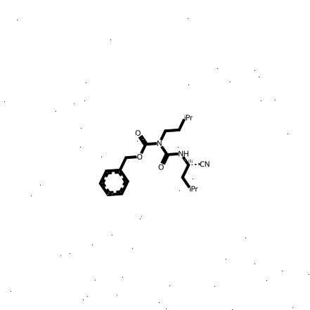 CC(C)CCN(C(=O)N[C@H](C#N)CC(C)C)C(=O)OCc1ccccc1